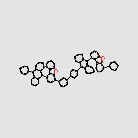 c1ccc(-c2c3ccccc3c(-c3ccc(-c4cccc(-c5ccc(-c6c7ccccc7c(-c7cccc8oc9c(-c%10ccccc%10)cccc9c78)c7ccccc67)cc5)c4)c4oc5ccccc5c34)c3ccccc23)cc1